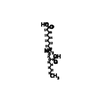 CCCCCCC(CCCCCCCCCCCC(=O)O)C(=O)O.N